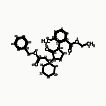 CCOC(=O)c1cccc(C)c1N1CCC([N+]2(CC(=O)OCc3ccccc3)CCCCC2)C1=O